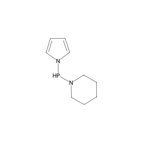 c1ccn(PN2CCCCC2)c1